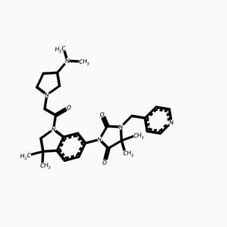 CN(C)C1CCN(CC(=O)N2CC(C)(C)c3ccc(N4C(=O)N(Cc5ccncc5)C(C)(C)C4=O)cc32)C1